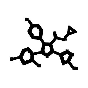 CC(C)(C)c1nnc(-c2nn(-c3ccc(Cl)cc3Cl)c(-c3ccc(Br)cc3)c2C(=O)NC2CC2)s1